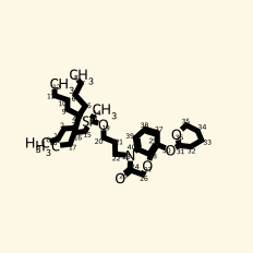 CCCCC(CCCC)(CCCC)[Si](C)(CCCC)OCCCN1C(=O)COc2c(OC3CCCCO3)cccc21